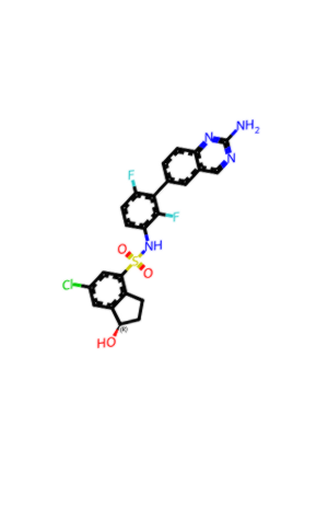 Nc1ncc2cc(-c3c(F)ccc(NS(=O)(=O)c4cc(Cl)cc5c4CC[C@H]5O)c3F)ccc2n1